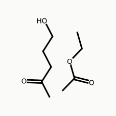 CC(=O)CCCO.CCOC(C)=O